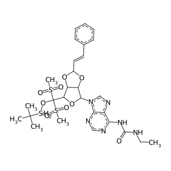 CCNC(=O)Nc1ncnc2c1ncn2C1OC(C(O[SiH2]C(C)(C)C)(S(C)(=O)=O)S(C)(=O)=O)C2OC(C=Cc3ccccc3)OC21